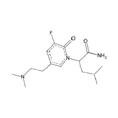 CC(C)CC(C(N)=O)n1cc(CCN(C)C)cc(F)c1=O